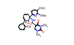 COc1nc(C2(NC(=O)c3cn(C)c(=O)n(C)c3=O)C=CC=C(c3ccccc3C#N)C2C)ccc1C=O